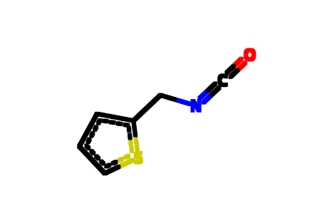 O=C=NCc1cccs1